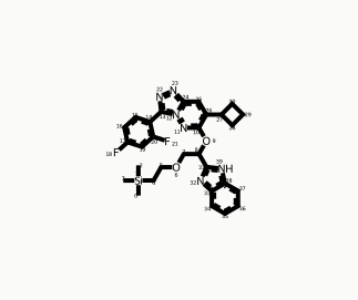 C[Si](C)(C)CCOCC(Oc1nn2c(-c3ccc(F)cc3F)nnc2cc1C1CCC1)c1nc2ccccc2[nH]1